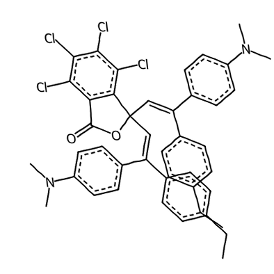 CCc1ccc(C(=CC2(C=C(c3ccc(CC)cc3)c3ccc(N(C)C)cc3)OC(=O)c3c(Cl)c(Cl)c(Cl)c(Cl)c32)c2ccc(N(C)C)cc2)cc1